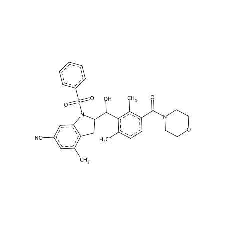 Cc1cc(C#N)cc2c1CC(C(O)c1c(C)ccc(C(=O)N3CCOCC3)c1C)N2S(=O)(=O)c1ccccc1